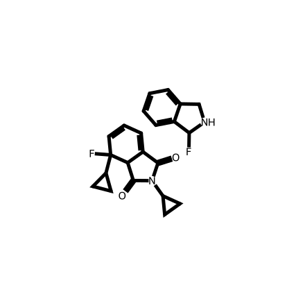 FC1NCc2ccccc21.O=C1C2=CC=CC(F)(C3CC3)C2C(=O)N1C1CC1